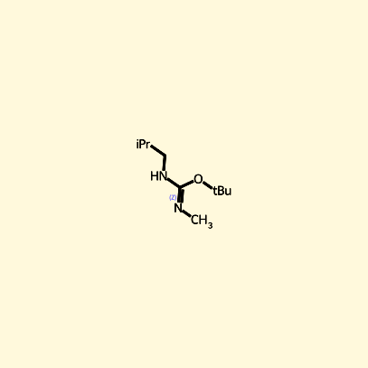 C/N=C(/NCC(C)C)OC(C)(C)C